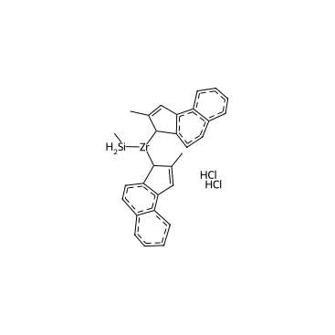 C[SiH2][Zr]([CH]1C(C)=Cc2c1ccc1ccccc21)[CH]1C(C)=Cc2c1ccc1ccccc21.Cl.Cl